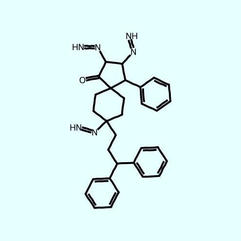 N=NC1C(=O)C2(CCC(CCC(c3ccccc3)c3ccccc3)(N=N)CC2)C(c2ccccc2)C1N=N